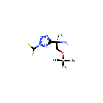 CC(C)(C)[Si](C)(C)OC[C@](C)(N)c1nnn(C(F)F)n1